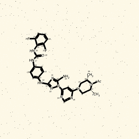 CC(=O)N1[C@H](C)CN(c2cc(-n3nc(Nc4ccc(NC(=O)Nc5c(F)cccc5F)cc4)nc3N)ncn2)C[C@@H]1C